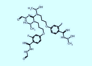 CB(O)NC(=N)c1ccc(OCCCN(B(C)O)/C(=N/BC=O)N(CCCOc2ccc(C(=N)NBC=O)c(F)c2)B(C)O)cc1F